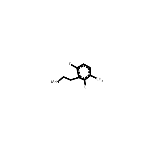 CNCCc1c(F)ccc(C)c1Cl